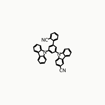 N#Cc1ccc2c(c1)c1ccccc1n2-c1cc(-c2ccccc2C#N)cc(-n2c3ccccc3c3ccccc32)c1